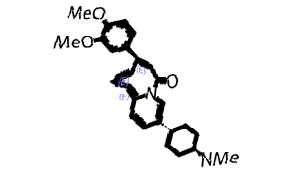 CN[C@H]1CC[C@H](C2=CN3C(=O)\C=C(c4ccc(OC)c(OC)c4)/C=C/C=C/3C=C2)CC1